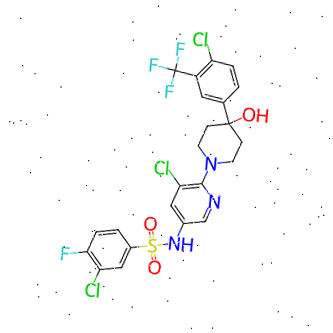 O=S(=O)(Nc1cnc(N2CCC(O)(c3ccc(Cl)c(C(F)(F)F)c3)CC2)c(Cl)c1)c1ccc(F)c(Cl)c1